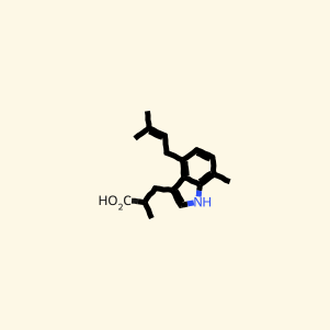 CC(C)=CCc1ccc(C)c2[nH]cc(CC(C)C(=O)O)c12